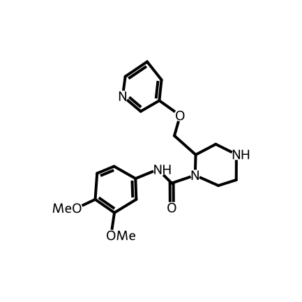 COc1ccc(NC(=O)N2CCNCC2COc2cccnc2)cc1OC